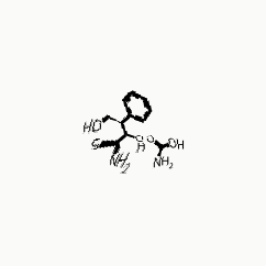 NC(=O)O.NC(=S)C(O)[C@@H](CO)c1ccccc1